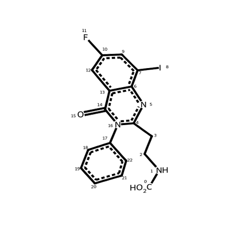 O=C(O)NCCc1nc2c(I)cc(F)cc2c(=O)n1-c1ccccc1